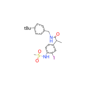 CC(C(=O)NCc1ccc(C(C)(C)C)cc1)c1ccc(NS(C)(=O)=O)c(I)c1